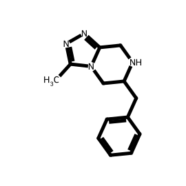 Cc1nnc2n1CC(Cc1ccccc1)NC2